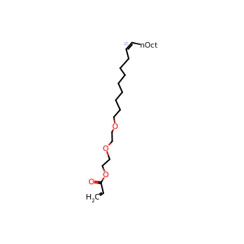 C=CC(=O)OCCOCCOCCCCCCCC/C=C\CCCCCCCC